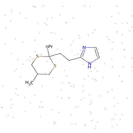 CCCC1(CCc2ncc[nH]2)SCC(C)CS1